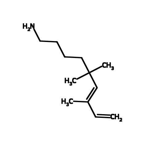 C=CC(C)=CC(C)(C)CCCCN